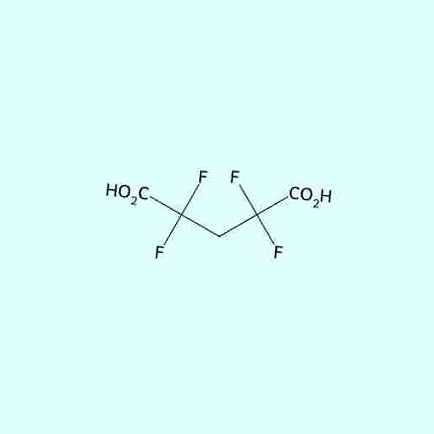 O=C(O)C(F)(F)CC(F)(F)C(=O)O